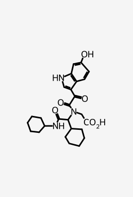 O=C(O)CN(C(=O)C(=O)c1c[nH]c2cc(O)ccc12)C(C(=O)NC1CCCCC1)C1CCCCC1